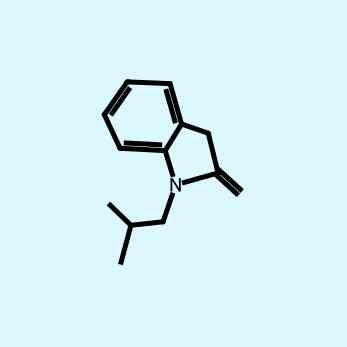 C=C1Cc2ccccc2N1CC(C)C